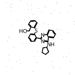 OCc1ccccc1Sc1ccccc1-c1nc(NC2CCCC2)c2ccccc2n1